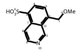 COCc1ccc(S(=O)(=O)O)c2ccncc12